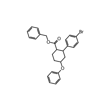 O=C(OCc1ccccc1)C1CCC(Oc2ccccc2)CC1c1ccc(Br)cc1